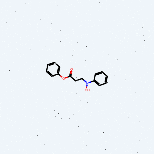 O=C(CCN(O)c1ccccc1)Oc1ccccc1